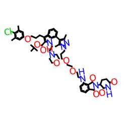 Cc1cc(OCCCc2c(C(O)OC(C)(C)C)n(CCN3CCOCC3)c3c(-c4c(C)nn(CCCOCCOCCNc5cccc6c5C(=O)N(C5CCC(=O)NC5=O)C6=O)c4C)cccc23)cc(C)c1Cl